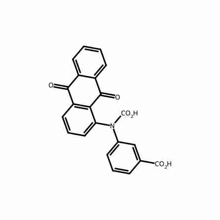 O=C(O)c1cccc(N(C(=O)O)c2cccc3c2C(=O)c2ccccc2C3=O)c1